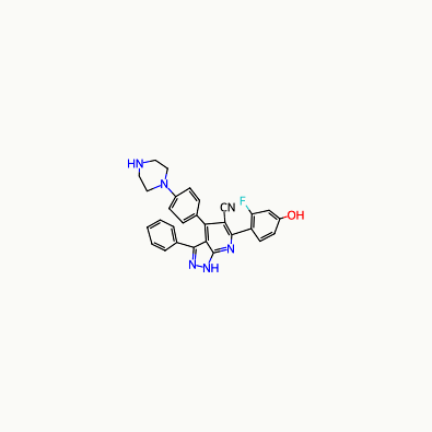 N#Cc1c(-c2ccc(O)cc2F)nc2[nH]nc(-c3ccccc3)c2c1-c1ccc(N2CCNCC2)cc1